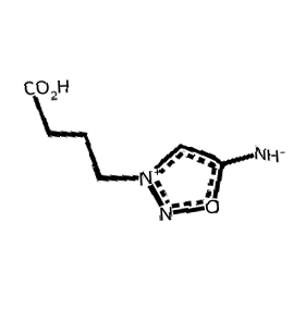 [NH-]c1c[n+](CCCC(=O)O)no1